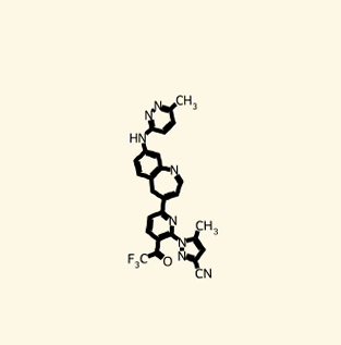 Cc1ccc(Nc2ccc3c(c2)N=CC=C(c2ccc(C(=O)C(F)(F)F)c(-n4nc(C#N)cc4C)n2)C3)nn1